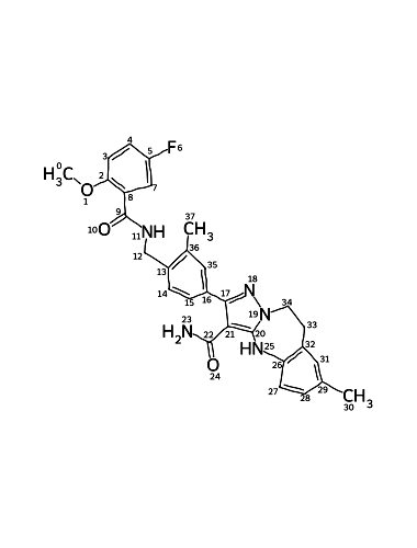 COc1ccc(F)cc1C(=O)NCc1ccc(-c2nn3c(c2C(N)=O)Nc2ccc(C)cc2CC3)cc1C